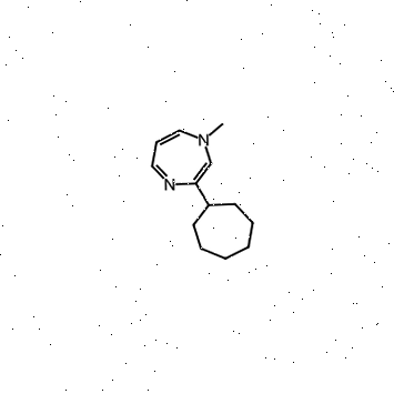 CN1C=CC=NC(C2CCCCCC2)=C1